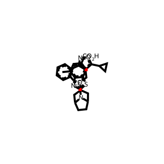 Cc1cc(C(=O)O)cc2sc(N3C4CCC3CC(OCc3c(-c5ccccc5C(F)(F)F)noc3C3CC3)C4)nc12